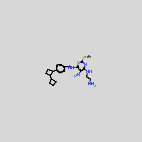 CCCSc1nc(NCCN)c(N=N)c(NCc2ccc(C3CCC3C3CCC3)cc2)n1